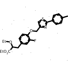 CCOC(=O)C(Cc1ccc(OCc2csc(-c3ccc(C)cc3)n2)c(F)c1)OCC